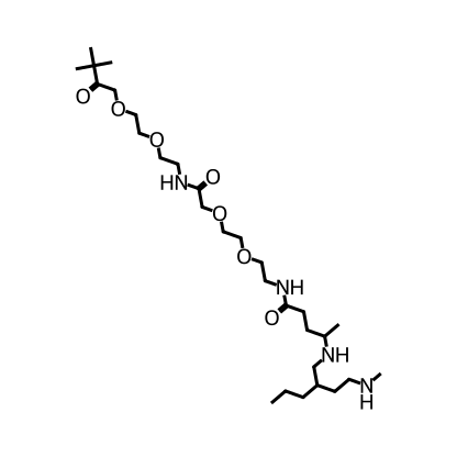 CCCC(CCNC)CNC(C)CCC(=O)NCCOCCOCC(=O)NCCOCCOCC(=O)C(C)(C)C